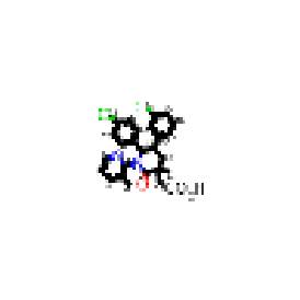 Cc1cccnc1N1C(=O)C(C)(CC(=O)O)CC(c2cccc(Cl)c2)C1c1ccc(Cl)cc1